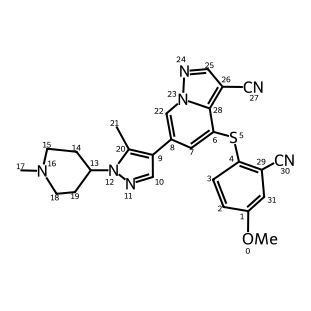 COc1ccc(Sc2cc(-c3cnn(C4CCN(C)CC4)c3C)cn3ncc(C#N)c23)c(C#N)c1